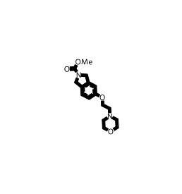 COC(=O)N1Cc2ccc(OCCN3CCOCC3)cc2C1